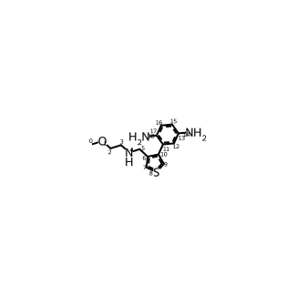 COCCNCc1cscc1-c1cc(N)ccc1N